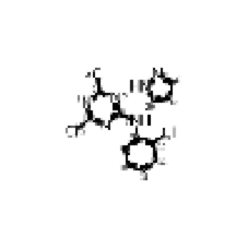 Clc1nc(Cl)nc(Nc2ccccc2Cl)n1.c1cn[nH]c1